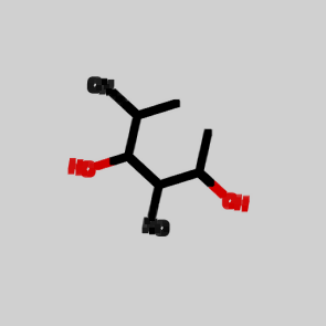 CC(O)C(N=O)C(O)C(C)N=O